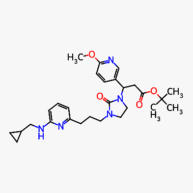 COc1ccc(C(CC(=O)OC(C)(C)C)N2CCN(CCCc3cccc(NCC4CC4)n3)C2=O)cn1